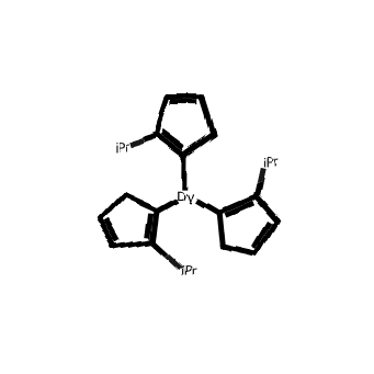 CC(C)C1=[C]([Dy]([C]2=C(C(C)C)C=CC2)[C]2=C(C(C)C)C=CC2)CC=C1